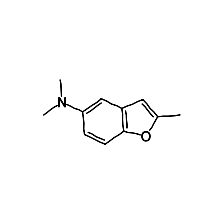 Cc1cc2cc(N(C)C)ccc2o1